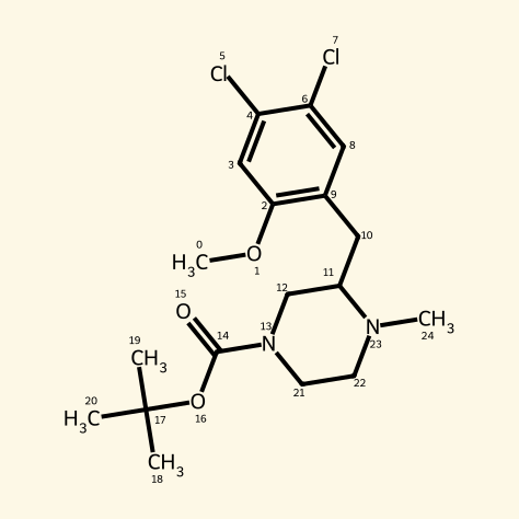 COc1cc(Cl)c(Cl)cc1CC1CN(C(=O)OC(C)(C)C)CCN1C